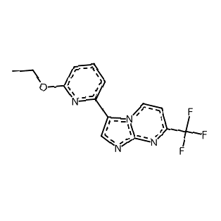 CCOc1cccc(-c2cnc3nc(C(F)(F)F)ccn23)n1